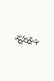 CCC(=O)N(Cc1cnc(OCC(F)(F)F)c(Br)c1)c1cc(C(N)=O)ccn1